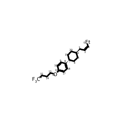 CC/C=C\C[C@H]1CC[C@H](c2ccc(OCCCC(F)(F)F)cc2)CC1